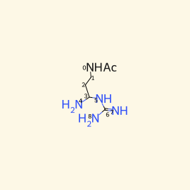 CC(=O)NCCC(N)NC(=N)N